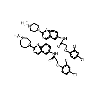 CN1CCCN(c2ncc3cc(NC(=O)COc4ccc(Cl)cc4Cl)ccc3n2)CC1.CN1CCN(c2ncc3cc(NC(=O)COc4ccc(Cl)cc4Cl)ccc3n2)CC1